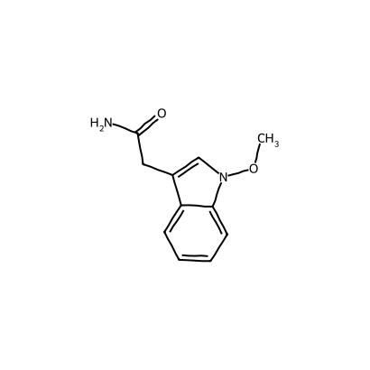 COn1cc(CC(N)=O)c2ccccc21